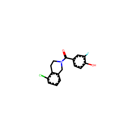 O=C(c1ccc(O)c(F)c1)N1CCc2c(Cl)cccc2C1